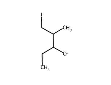 CCC([O])C(C)CI